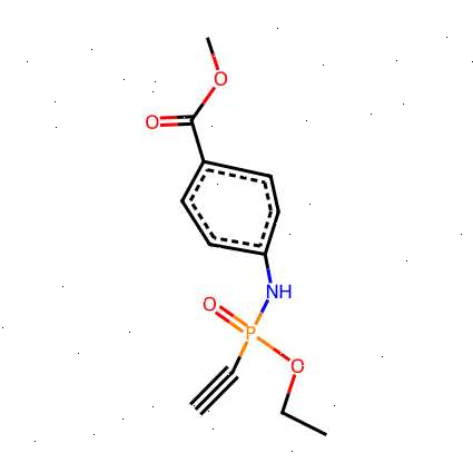 C#CP(=O)(Nc1ccc(C(=O)OC)cc1)OCC